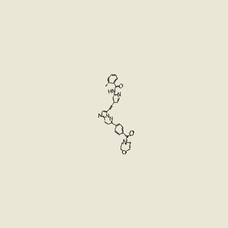 Cc1ccccc1C(=O)Nc1cc(C#Cc2cnc3ccc(-c4ccc(C(=O)N5CCOCC5)cc4)nn23)ccn1